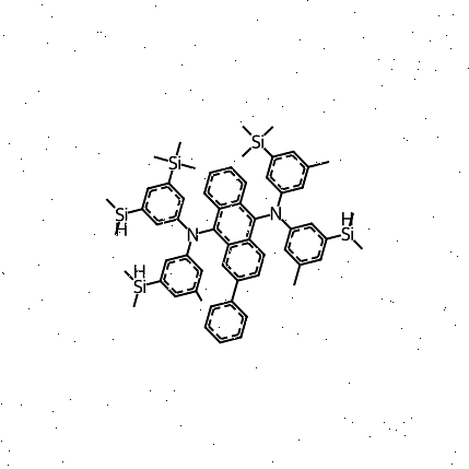 Cc1cc(N(c2cc(C)cc([Si](C)(C)C)c2)c2c3ccccc3c(N(c3cc(C)cc([SiH](C)C)c3)c3cc([SiH](C)C)cc([Si](C)(C)C)c3)c3cc(-c4ccccc4)ccc23)cc([SiH](C)C)c1